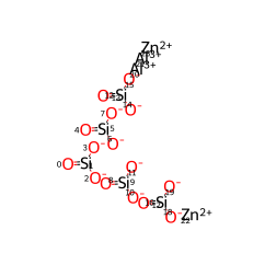 O=[Si]([O-])[O-].O=[Si]([O-])[O-].O=[Si]([O-])[O-].O=[Si]([O-])[O-].O=[Si]([O-])[O-].[Al+3].[Al+3].[Zn+2].[Zn+2]